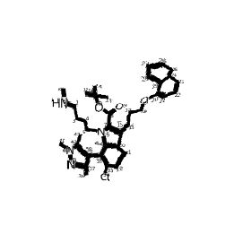 CNCCCCn1c(C(=O)OC(C)(C)C)c(CCCOc2cccc3ccccc23)c2ccc(Cl)c(-c3c(C)nn(C)c3C)c21